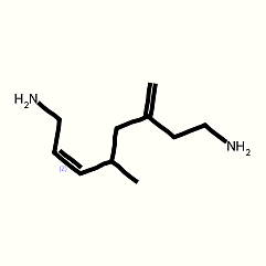 C=C(CCN)CC(C)/C=C\CN